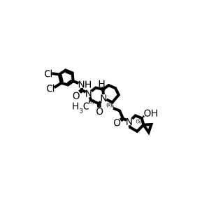 C[C@H]1C(=O)N2[C@@H](CCC(=O)N3CCC4(CC4)[C@H](O)C3)CCC[C@H]2CN1C(=O)Nc1ccc(Cl)c(Cl)c1